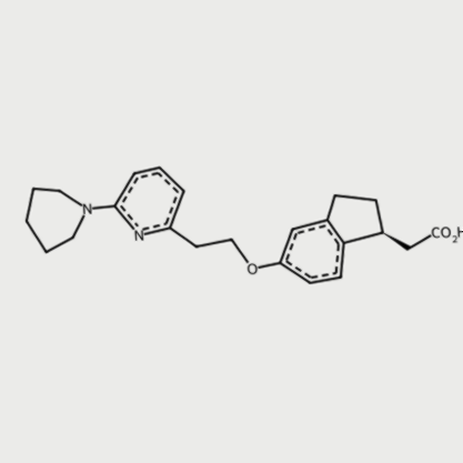 O=C(O)C[C@@H]1CCc2cc(OCCc3cccc(N4CCCCC4)n3)ccc21